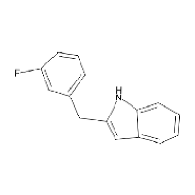 Fc1cccc(Cc2cc3ccccc3[nH]2)c1